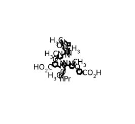 CCCN(C)COCc1c(-c2ccc(O[C@H]3CCC[C@H](C(=O)O)C3)c(C)n2)nnn1CC1C[C@H](Oc2ccc(-c3nnn(C)c3COC(=O)N(C)CC3CCC3)nc2C)C[C@@H](C(=O)O)C1